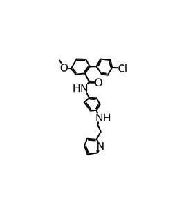 COc1ccc(-c2ccc(Cl)cc2)c(C(=O)Nc2ccc(NCCc3ccccn3)cc2)c1